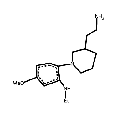 CCNc1cc(OC)ccc1N1CCCC(CCN)C1